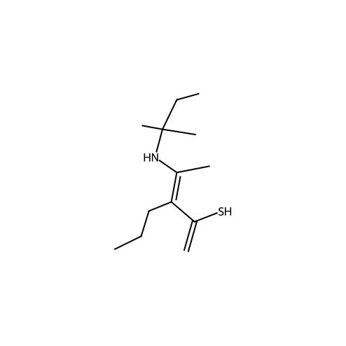 C=C(S)/C(CCC)=C(\C)NC(C)(C)CC